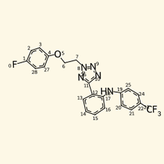 Fc1ccc(OCCn2nnc(-c3ccccc3Nc3ccc(C(F)(F)F)cc3)n2)cc1